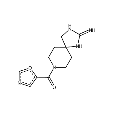 N=C1NCC2(CCN(C(=O)c3cnco3)CC2)N1